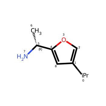 CC(C)c1coc([C@@H](C)N)c1